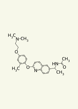 CC(=O)NC(C)c1ccc2nc(Oc3ccc(OCCN(C)C)cc3C)ccc2c1